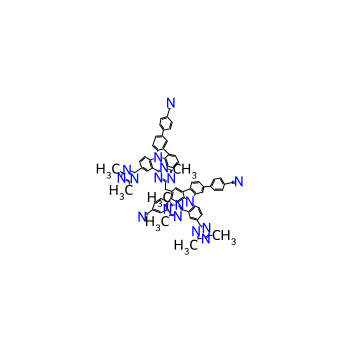 Cc1nc(C)nc(-c2ccc(-n3c4cc(-c5ccc(C#N)cc5)ccc4c4cc(Cc5nc(C)nc(-c6cc(-c7nc(C)nc(C)n7)ccc6-n6c7ccccc7c7cc(-c8ccc(C#N)cc8)ccc76)n5)c(-c5ccc(C#N)cc5)cc43)c(-c3nc(C)nc(C)n3)c2)n1